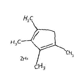 CC1=C(C)C(C)=C(C)C1.[Zr+4]